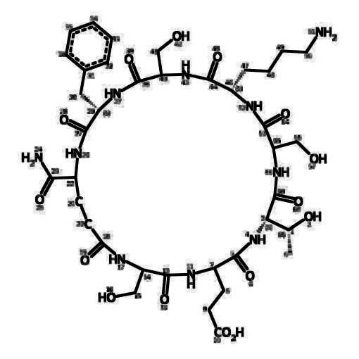 C[C@@H](O)[C@@H]1NC(=O)C(CCC(=O)O)NC(=O)C(CO)NC(=O)CCC(C(N)=O)NC(=O)[C@H](Cc2ccccc2)NC(=O)C(CO)NC(=O)[C@H](CCCCN)NC(=O)C(CO)NC1=O